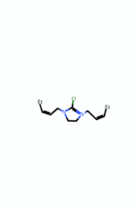 CC/C=C\CN1CC[N+](C/C=C\CC)=C1Cl